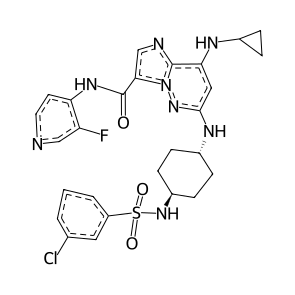 O=C(Nc1ccncc1F)c1cnc2c(NC3CC3)cc(N[C@H]3CC[C@H](NS(=O)(=O)c4cccc(Cl)c4)CC3)nn12